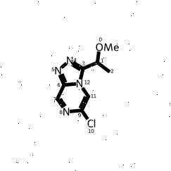 COC(C)c1nnc2cnc(Cl)cn12